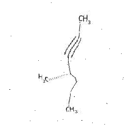 CC#C[C@@H](C)CC